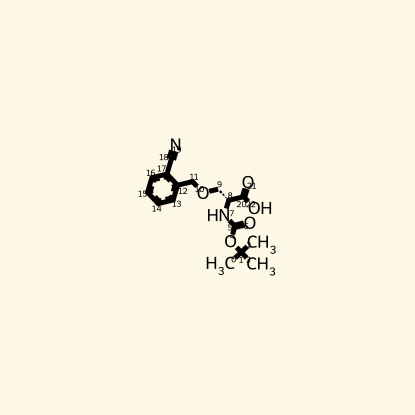 CC(C)(C)OC(=O)N[C@H](COCc1ccccc1C#N)C(=O)O